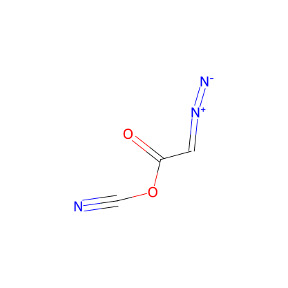 N#COC(=O)C=[N+]=[N-]